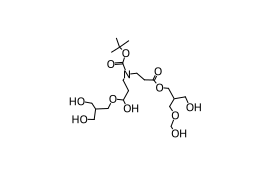 CC(C)(C)OC(=O)N(CCC(=O)OCC(CO)COCO)CCC(O)OCC(CO)CO